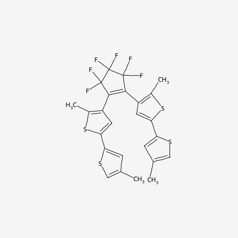 Cc1csc(-c2cc(C3=C(c4cc(-c5cc(C)cs5)sc4C)C(F)(F)C(F)(F)C3(F)F)c(C)s2)c1